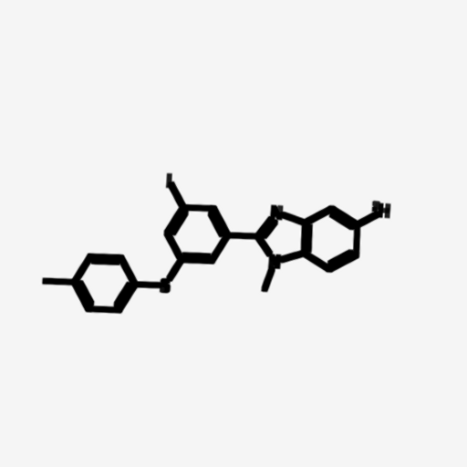 [2H]c1ccc2c(c1)nc(-c1cc(I)cc(Sc3ccc(C)cc3)c1)n2C